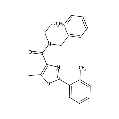 Cc1oc(-c2ccccc2C(F)(F)F)nc1C(=O)N(CC(=O)O)Cc1ccccn1